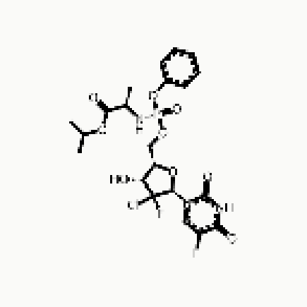 CC(C)OC(=O)[C@@H](C)N[P@](=O)(OC[C@H]1O[C@@H](n2cc(F)c(=O)[nH]c2=O)[C@](F)(Cl)[C@@H]1O)Oc1ccccc1